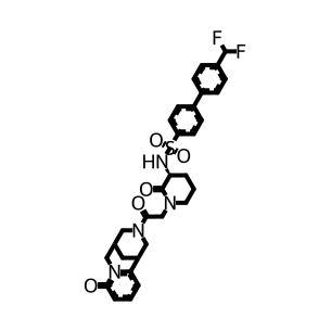 O=C(CN1CCC[C@H](NS(=O)(=O)c2ccc(-c3ccc(C(F)F)cc3)cc2)C1=O)N1CC2CC(C1)c1cccc(=O)n1C2